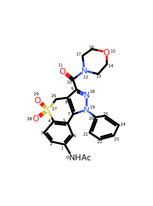 CC(=O)Nc1ccc2c(c1)-c1c(c(C(=O)N3CCOCC3)nn1-c1ccccc1)CS2(=O)=O